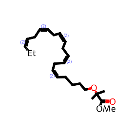 CC/C=C\C/C=C\C/C=C\C/C=C\C/C=C\CCCCOC(C)(C)C(=O)OC